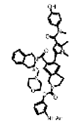 CC(=O)Nc1cccc(OC(=O)N2CCc3cc(-c4cc(C(=O)N(C)c5ccc(O)cc5)c(C)n4C)c(C(=O)N4Cc5ccccc5C[C@H]4CN4CCOCC4)cc3C2)c1